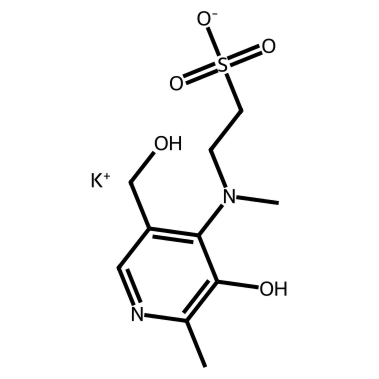 Cc1ncc(CO)c(N(C)CCS(=O)(=O)[O-])c1O.[K+]